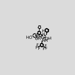 Cl.O=C(N[C@@H](Cc1ccccc1)[C@@H](O)CNCc1cc(C(F)(F)F)cc(C(F)(F)F)c1)c1cc(C2CCCC2)cc(N2CCCCS2(O)O)c1